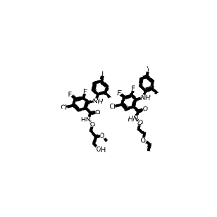 CCOCCONC(=O)c1cc(Cl)c(F)c(F)c1Nc1ccc(I)cc1C.COC(CO)CONC(=O)c1cc(Cl)c(F)c(F)c1Nc1ccc(I)cc1C